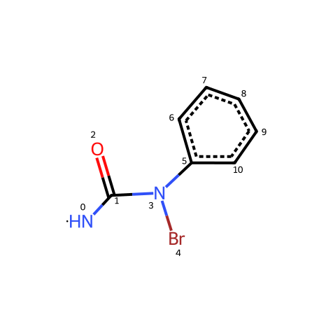 [NH]C(=O)N(Br)c1ccccc1